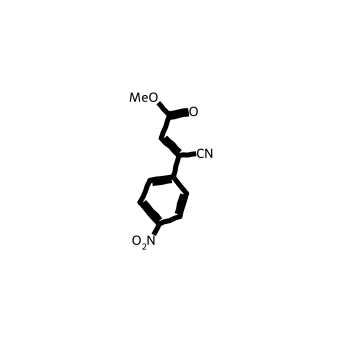 COC(=O)C=C(C#N)c1ccc([N+](=O)[O-])cc1